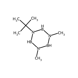 CN1BN(C)BN(C(C)(C)C)B1